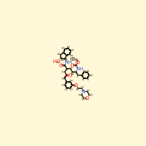 CC(C)(C)OC(=O)NC(Cc1ccccc1)C(O)CC(CC=Cc1cccc(OCCN2CCOCC2)c1)C(=O)N[C@H]1c2ccccc2C[C@@H]1O